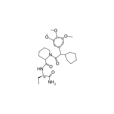 CC[C@@H](NC(=O)C1CCCCN1C(=O)C(c1cc(OC)c(OC)c(OC)c1)C1CCCCC1)C(N)=O